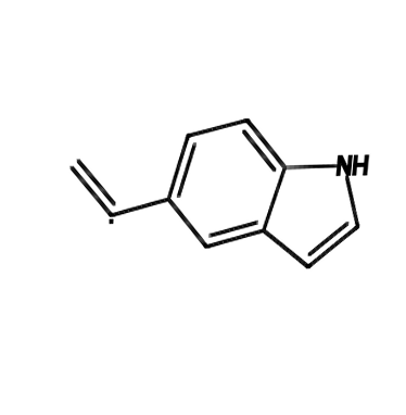 C=[C]c1ccc2[nH]ccc2c1